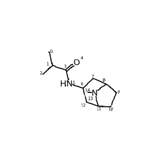 CC(C)C(=O)NC1CC2CCC(C1)N2C